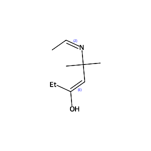 C/C=N\C(C)(C)/C=C(/O)CC